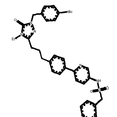 CCn1c(CCCc2ccc(-c3ccc(NS(=O)(=O)Cc4ccccc4)cn3)cc2)nn(Cc2ccc(C(C)(C)C)cc2)c1=O